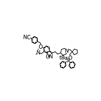 CN(C)Cc1c(OCc2ccc(C#N)cc2)ccc2c(CCC3CCN(CC4(CO[Si](c5ccccc5)(c5ccccc5)C(C)(C)C)CCCC4)CC3)noc12